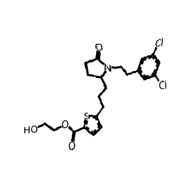 O=C(OCCO)c1ccc(CCCC2CCC(=O)N2CCc2cc(Cl)cc(Cl)c2)s1